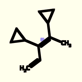 C=C/C(=C(\C)C1CC1)C1CC1